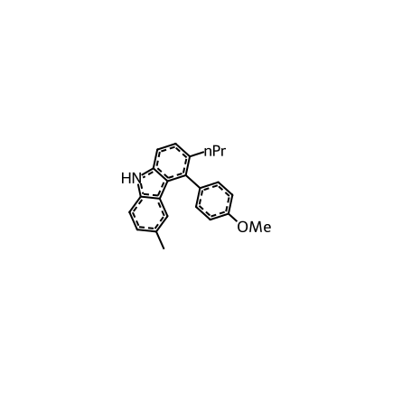 CCCc1ccc2[nH]c3ccc(C)cc3c2c1-c1ccc(OC)cc1